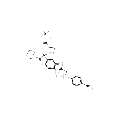 Cn1c(CNc2ccc(C#N)cc2)nc2cc(C(C)(C(=O)N3CCCC3)N3CCC3C(=O)OC(C)(C)C)ccc21